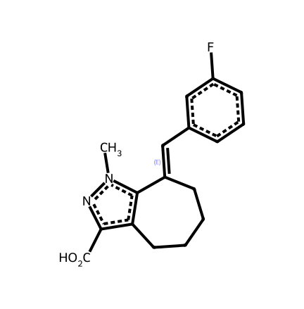 Cn1nc(C(=O)O)c2c1/C(=C/c1cccc(F)c1)CCCC2